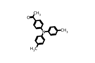 CC(=O)c1ccc(N(c2ccc(C)cc2)c2ccc(C)cc2)cc1